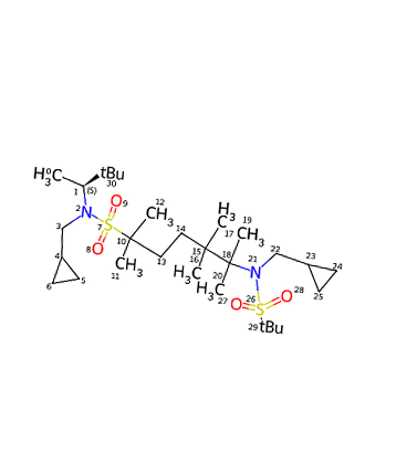 C[C@H](N(CC1CC1)S(=O)(=O)C(C)(C)CCC(C)(C)C(C)(C)N(CC1CC1)S(=O)(=O)C(C)(C)C)C(C)(C)C